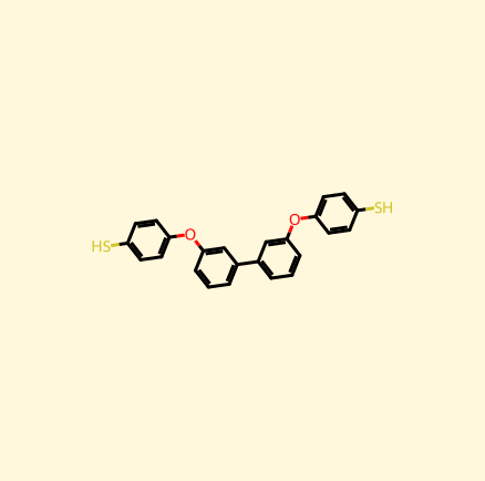 Sc1ccc(Oc2cccc(-c3cccc(Oc4ccc(S)cc4)c3)c2)cc1